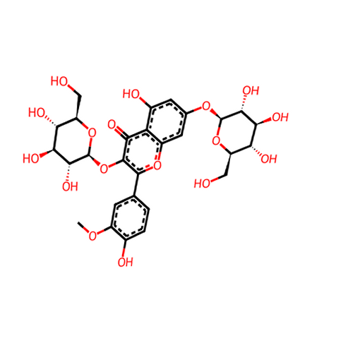 COc1cc(-c2oc3cc(O[C@@H]4O[C@H](CO)[C@@H](O)[C@H](O)[C@H]4O)cc(O)c3c(=O)c2O[C@@H]2O[C@H](CO)[C@@H](O)[C@H](O)[C@H]2O)ccc1O